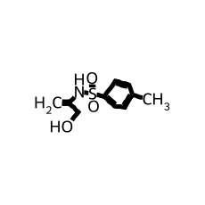 C=C(CO)NS(=O)(=O)c1ccc(C)cc1